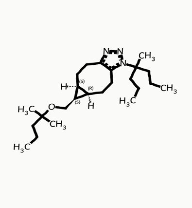 CCCC(C)(C)OC[C@@H]1[C@@H]2CCc3c(nnn3C(C)(CCC)CCC)CC[C@@H]21